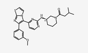 COc1cccc(-c2nc3sccn3c2-c2ccnc(N[C@@H]3CCCN(C(=O)CC(C)C)C3)n2)c1